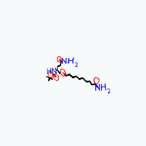 CC(C)(C)OC(=O)N[C@@H](CCC(N)=O)COCCCCCCCCCC(N)=O